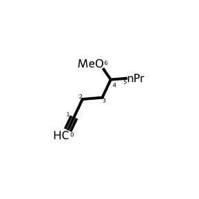 C#CCCC(CC[CH2])OC